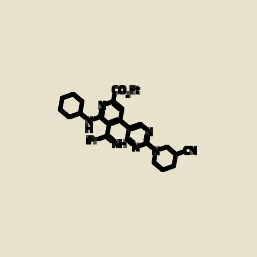 CCOC(=O)c1cc(-c2cnc(N3CCCC(C#N)C3)nc2)c(C(=N)C(C)C)c(NC2CCCCC2)n1